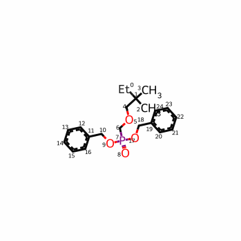 CCC(C)(C)COCP(=O)(OCc1ccccc1)OCc1ccccc1